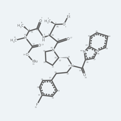 CCO[C@H](C)[C@H](NC(=O)[C@H](C)N(C)C(=O)OC(C)(C)C)C(=O)N1CCC[C@H]1CN(CCc1ccc(F)cc1)C(=O)c1cn2ccccc2n1